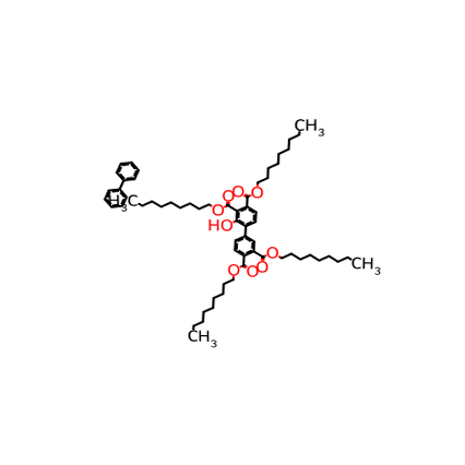 CCCCCCCCCOC(=O)c1ccc(-c2ccc(C(=O)OCCCCCCCCC)c(C(=O)OCCCCCCCCC)c2O)cc1C(=O)OCCCCCCCCC.c1ccc(-c2ccccc2)cc1